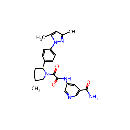 Cc1cc(C)n(-c2ccc([C@@H]3CC[C@@H](C)CN3C(=O)C(=O)Nc3cncc(C(N)=O)c3)cc2)n1